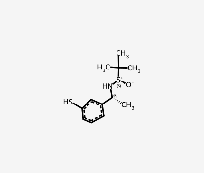 C[C@@H](N[S@+]([O-])C(C)(C)C)c1cccc(S)c1